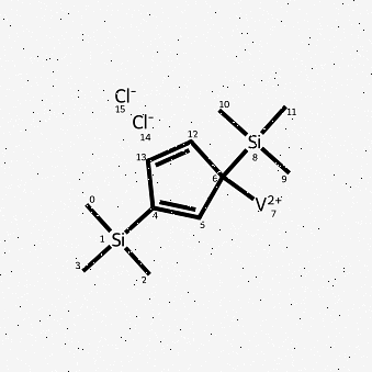 C[Si](C)(C)C1=C[C]([V+2])([Si](C)(C)C)C=C1.[Cl-].[Cl-]